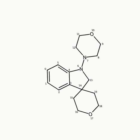 c1ccc2c(c1)N(N1CCOCC1)CC21CCOCC1